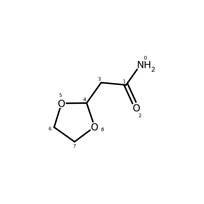 NC(=O)CC1OCCO1